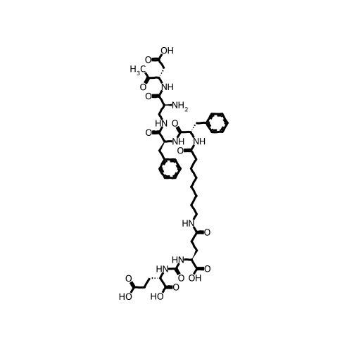 CC(=O)[C@H](CC(=O)O)NC(=O)[C@@H](N)CNC(=O)[C@H](Cc1ccccc1)NC(=O)[C@H](Cc1ccccc1)NC(=O)CCCCCCCNC(=O)CC[C@H](NC(=O)N[C@@H](CCC(=O)O)C(=O)O)C(=O)O